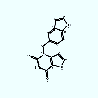 O=c1[nH]c(=S)n(Cc2ccc3[nH]ccc3c2)c2cc[nH]c12